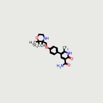 CC1(COc2ccc(-c3cc(C(N)=O)c(=O)[nH]c3C(F)(F)F)cc2)NCCOC1(C)C